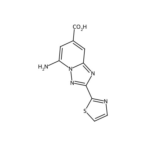 Nc1cc(C(=O)O)cc2nc(-c3nccs3)nn12